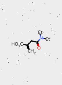 C=C(CC(=O)N(CC)CC)C(=O)O